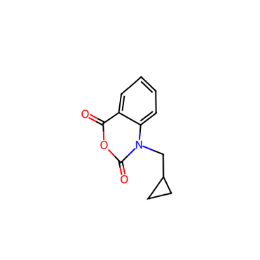 O=c1oc(=O)n(CC2CC2)c2ccccc12